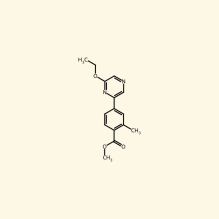 CCOc1cncc(-c2ccc(C(=O)OC)c(C)c2)n1